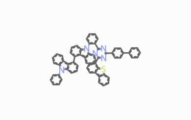 c1ccc(-c2ccc(-c3nc(-c4ccccc4-n4c5ccccc5c5c(-c6cccc7c6c6ccccc6n7-c6ccccc6)cccc54)nc(-c4cccc5c4sc4ccccc45)n3)cc2)cc1